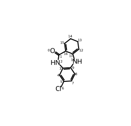 O=C1Nc2cc(Cl)ccc2NC2=CCCC=C12